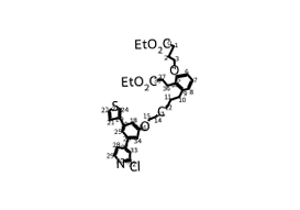 CCOC(=O)CCCOc1cccc(CCCCCCOc2cc(-c3ccsc3)cc(-c3ccnc(Cl)c3)c2)c1CCC(=O)OCC